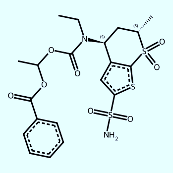 CCN(C(=O)OC(C)OC(=O)c1ccccc1)[C@H]1C[C@H](C)S(=O)(=O)c2sc(S(N)(=O)=O)cc21